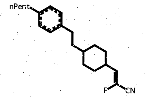 CCCCCc1ccc(CCC2CCC(C=C(F)C#N)CC2)cc1